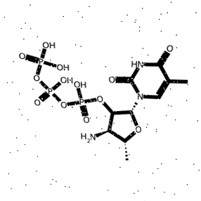 Cc1cn([C@@H]2O[C@H](C)[C@@H](N)C2OP(=O)(O)OP(=O)(O)OP(=O)(O)O)c(=O)[nH]c1=O